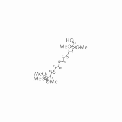 CO[Si](CO)(CCSCCSCCSCC[Si](OC)(OC)OC)OC